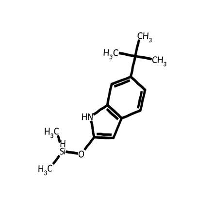 C[SiH](C)Oc1cc2ccc(C(C)(C)C)cc2[nH]1